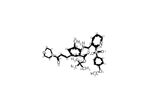 COc1ccc(S(=O)(=O)c2ncccc2CNc2c(C)cc(/C=C/C(=O)N3CCOCC3)cc2C(=O)OC(C)(C)C)cc1